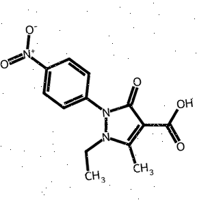 CCn1c(C)c(C(=O)O)c(=O)n1-c1ccc([N+](=O)[O-])cc1